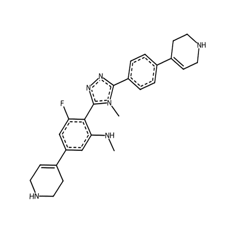 CNc1cc(C2=CCNCC2)cc(F)c1-c1nnc(-c2ccc(C3=CCNCC3)cc2)n1C